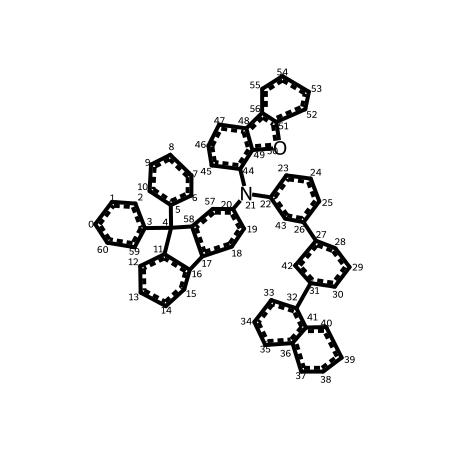 c1ccc(C2(c3ccccc3)c3ccccc3-c3ccc(N(c4cccc(-c5cccc(-c6cccc7ccccc67)c5)c4)c4cccc5c4oc4ccccc45)cc32)cc1